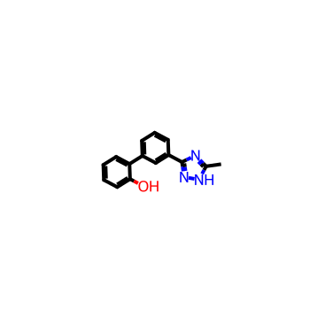 Cc1nc(-c2cccc(-c3ccccc3O)c2)n[nH]1